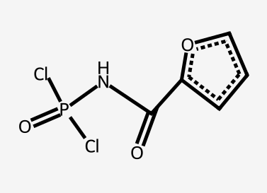 O=C(NP(=O)(Cl)Cl)c1ccco1